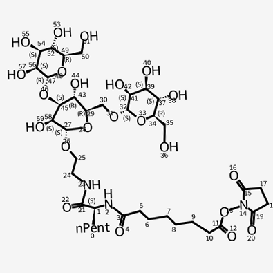 CCCCC[C@H](NC(=O)CCCCCCC(=O)ON1C(=O)CCC1=O)C(=O)NCCO[C@H]1O[C@H](CO[C@H]2O[C@H](CO)[C@@H](O)[C@H](O)[C@@H]2O)[C@@H](O)[C@H](O[C@H]2O[C@H](CO)[C@@H](O)[C@H](O)[C@@H]2O)[C@@H]1O